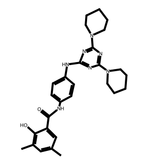 Cc1cc(C)c(O)c(C(=O)Nc2ccc(Nc3nc(N4CCCCC4)nc(N4CCCCC4)n3)cc2)c1